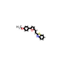 COc1ccc(-c2ccc(/C=C/c3nc4ccccc4s3)o2)cc1